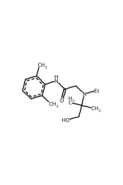 CCN(CC(=O)Nc1c(C)cccc1C)C(C)(C)CO